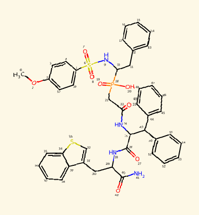 COc1ccc(S(=O)(=O)NC(Cc2ccccc2)P(=O)(O)CC(=O)NC(C(=O)NC(Cc2csc3ccccc23)C(N)=O)C(c2ccccc2)c2ccccc2)cc1